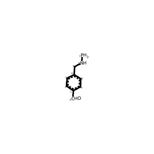 O=Cc1ccc(CNP)cc1